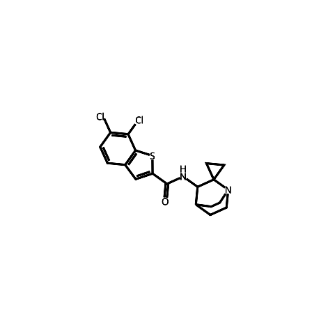 O=C(NC1C2CCN(CC2)C12CC2)c1cc2ccc(Cl)c(Cl)c2s1